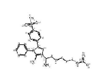 Cc1c(C(N)COCCCO[N+](=O)[O-])cc(-c2ccc(S(C)(=O)=O)cc2)n1-c1ccccc1